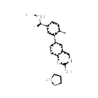 CCCNC(=O)c1ccc(C)c(-c2ccc3nc(N[C@@H]4CCNC4)ncc3c2)c1